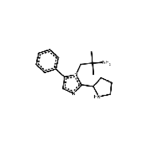 CC(C)(N)Cn1c(-c2ccccc2)cnc1C1CCCN1